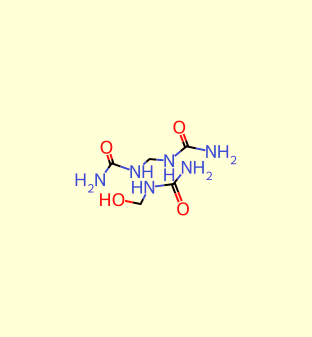 NC(=O)NCNC(N)=O.NC(=O)NCO